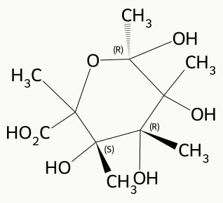 CC1(O)[C@](C)(O)[C@](C)(O)C(C)(C(=O)O)O[C@@]1(C)O